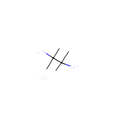 Br.CC(C)(N)C(C)(C)N